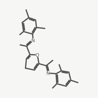 C/C(=N\c1c(C)cc(C)cc1C)C1=CCC=C(/C(C)=N/c2c(C)cc(C)cc2C)O1